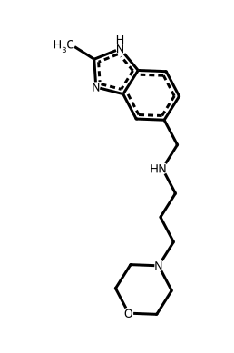 Cc1nc2cc(CNCCCN3CCOCC3)ccc2[nH]1